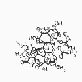 CC(=O)O[C@@H]1[C@H]2[C@H]3[C@H]([C@H](OC(C)=O)[C@H](OC(C)=O)[C@]2(C)[C@H]2[C@H](C)[C@H]4O[C@]45OC(=O)[C@@](C)(O)[C@]5(C)[C@H]12)[C@]1(C)[C@H](C[C@H](O)[C@@H](Cl)[C@@H]1OC(C)=O)C(=O)[C@@H]3O